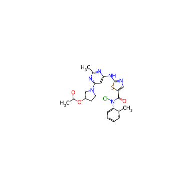 CC(=O)OC1CCN(c2cc(Nc3ncc(C(=O)N(Cl)c4ccccc4C)s3)nc(C)n2)C1